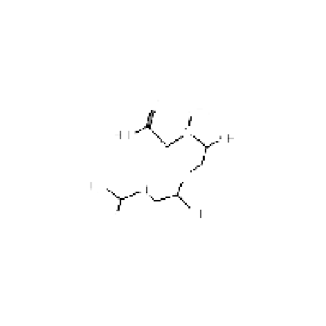 CC(C)NCC(C)OCC(C)N(C)CC(N)=O